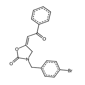 O=C(C=C1CN(Cc2ccc(Br)cc2)C(=O)O1)c1ccccc1